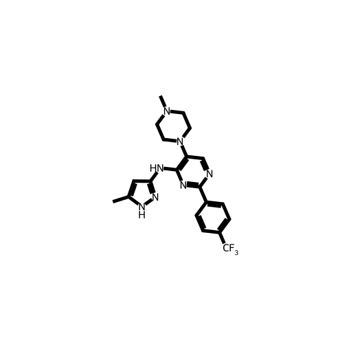 Cc1cc(Nc2nc(-c3ccc(C(F)(F)F)cc3)ncc2N2CCN(C)CC2)n[nH]1